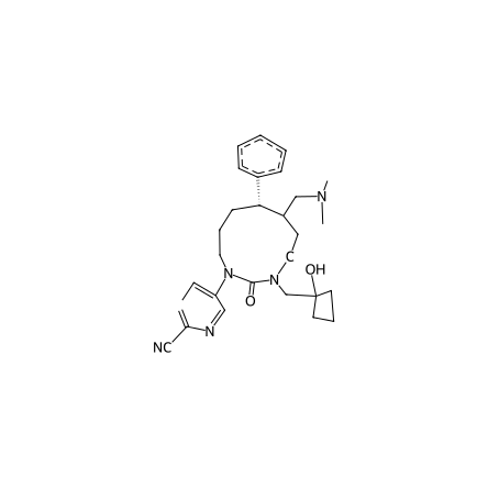 C=C(C#N)/N=C\C(=C/C)N1CCC[C@H](c2ccccc2)C(CN(C)C)CCN(CC2(O)CCC2)C1=O